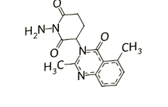 Cc1cccc2nc(C)n(C3CCC(=O)N(N)C3=O)c(=O)c12